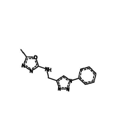 Cc1nnc(NCc2cn(-c3ccccc3)nn2)o1